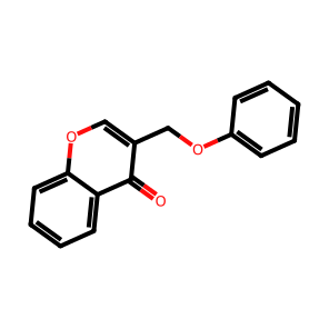 O=c1c(COc2ccccc2)coc2ccccc12